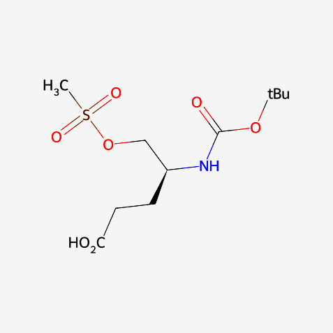 CC(C)(C)OC(=O)N[C@@H](CCC(=O)O)COS(C)(=O)=O